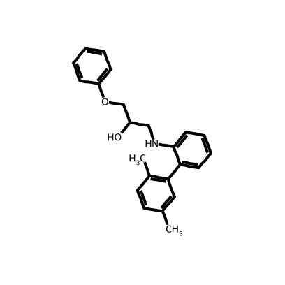 Cc1ccc(C)c(-c2ccccc2NCC(O)COc2ccccc2)c1